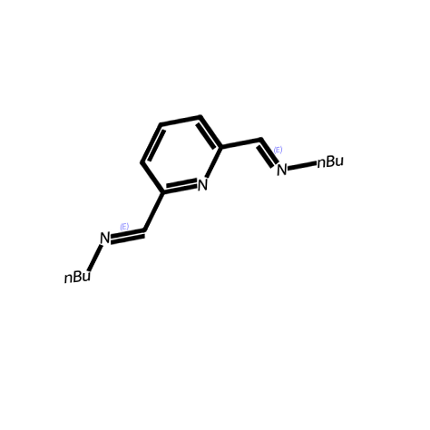 CCCC/N=C/c1cccc(/C=N/CCCC)n1